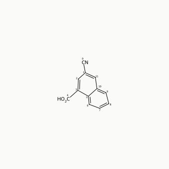 N#Cc1cc(C(=O)O)c2ccccc2c1